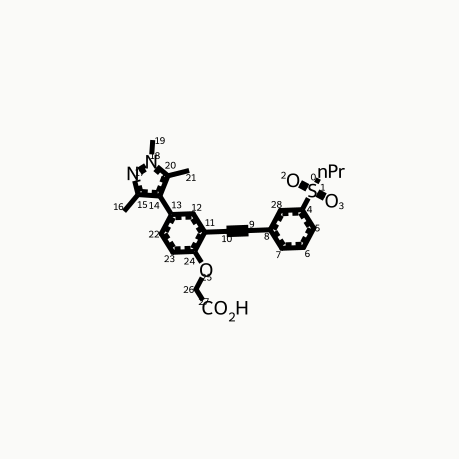 CCCS(=O)(=O)c1cccc(C#Cc2cc(-c3c(C)nn(C)c3C)ccc2OCC(=O)O)c1